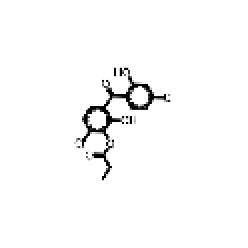 CCC(=O)Oc1c(Cl)ccc(C(=O)c2ccc(Cl)cc2O)c1O